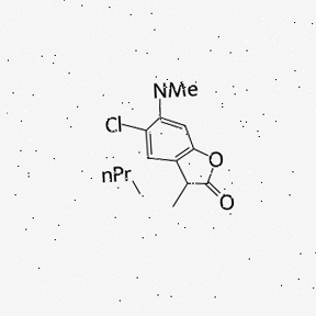 CCCC.CNc1cc2c(cc1Cl)C(C)C(=O)O2